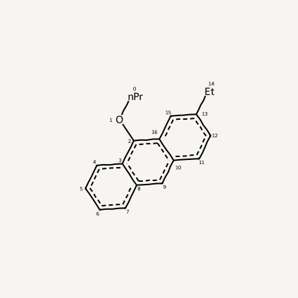 CCCOc1c2ccccc2cc2ccc(CC)cc12